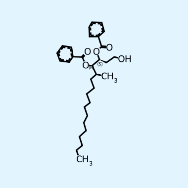 CCCCCCCCCCCCC(C)[C@@H](OC(=O)c1ccccc1)[C@H](CCO)OC(=O)c1ccccc1